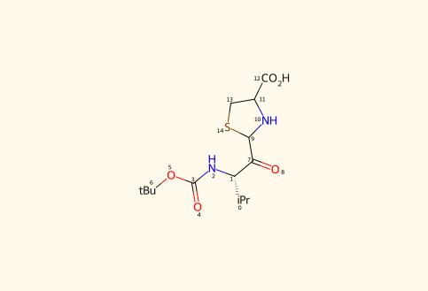 CC(C)[C@H](NC(=O)OC(C)(C)C)C(=O)C1NC(C(=O)O)CS1